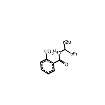 CCCCC(CCC)OC(=O)c1ccccc1C(=O)O